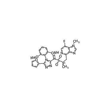 COc1cccc(OC)c1-n1c(NS(=O)(=O)[C@H](C)Cc2ncc(F)c3c2ncn3C)nnc1-c1ccco1